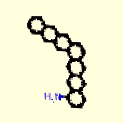 Nc1cccc2cc3cc4ccc5cc6cc7ccccc7cc6cc5c4cc3cc12